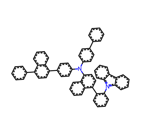 c1ccc(-c2ccc(N(c3ccc(-c4ccc(-c5ccccc5)c5ccccc45)cc3)c3ccc(-c4ccccc4-n4c5ccccc5c5ccccc54)c4ccccc34)cc2)cc1